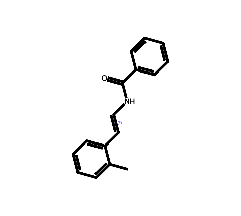 Cc1ccccc1/C=C/NC(=O)c1ccccc1